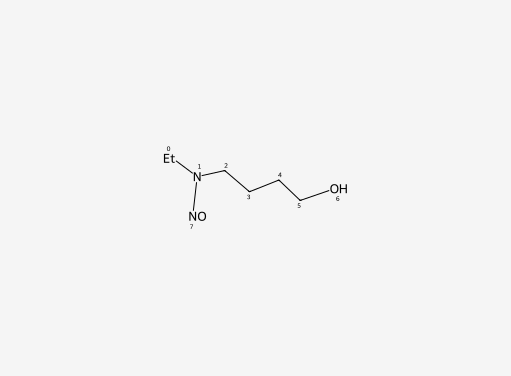 CCN(CCCCO)N=O